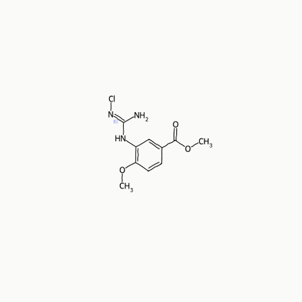 COC(=O)c1ccc(OC)c(N/C(N)=N/Cl)c1